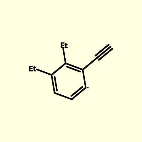 C#Cc1[c]ccc(CC)c1CC